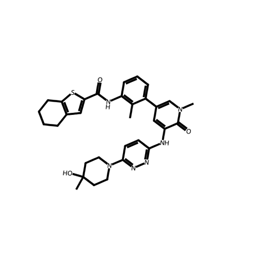 Cc1c(NC(=O)c2cc3c(s2)CCCC3)cccc1-c1cc(Nc2ccc(N3CCC(C)(O)CC3)nn2)c(=O)n(C)c1